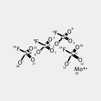 O=S(=O)([O-])F.O=S(=O)([O-])F.O=S(=O)([O-])F.O=S(=O)([O-])F.[Mo+4]